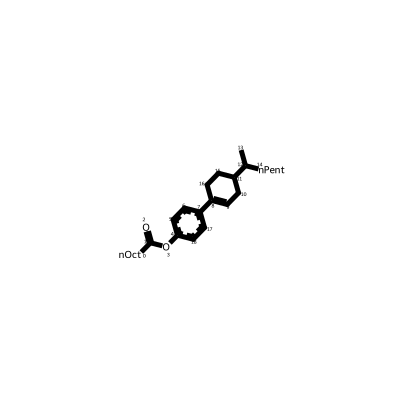 CCCCCCCCC(=O)Oc1ccc(C2=CCC(C(C)CCCCC)CC2)cc1